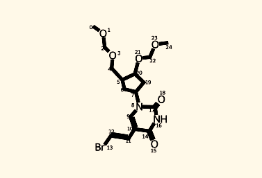 COCOCC1CC(n2cc(/C=C/Br)c(=O)[nH]c2=O)CC1OCOC